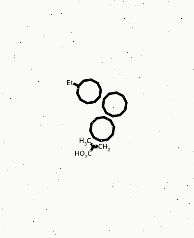 C1CCCCCCCCC1.C1CCCCCCCCC1.C=C(C)C(=O)O.CCC1CCCCCCCCC1